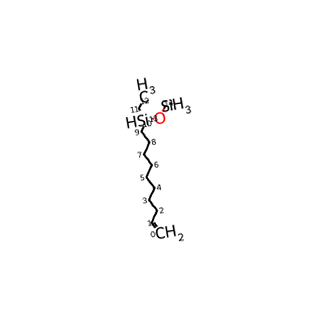 C=CCCCCCCCC[SiH](CC)O[SiH3]